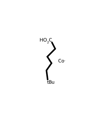 CC(C)(C)CCCCC(=O)O.[Co]